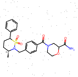 C[C@H]1CCC(c2ccccc2)S(=O)(=O)N1Cc1ccc(C(=O)N2CCOC(C(N)=O)C2)cc1